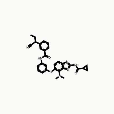 CCC(C#N)c1cccc(C(=O)Nc2cccc(Oc3ccc4nc(NC(=O)C5CC5)sc4c3N(C)C)c2)c1